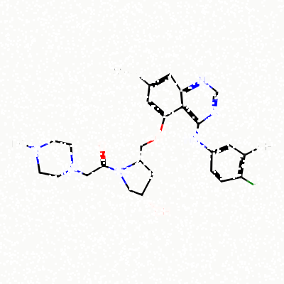 COc1cc(OC[C@H]2C[C@H](O)CN2C(=O)CN2CCN(C)CC2)c2c(Nc3ccc(F)c(C)c3)ncnc2c1